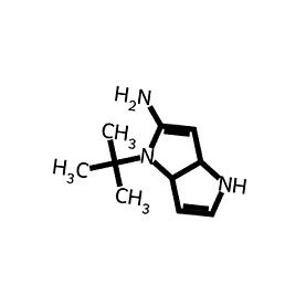 CC(C)(C)N1C(N)=CC2NC=CC21